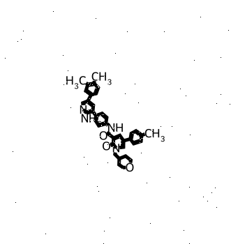 Cc1ccc(-c2cc(C(=O)Nc3ccc(-c4cc(-c5ccc(C)c(C)c5)cnc4N)cc3)c(=O)n(CC3CCOCC3)c2)cc1